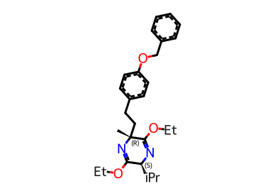 CCOC1=N[C@](C)(CCc2ccc(OCc3ccccc3)cc2)C(OCC)=N[C@H]1C(C)C